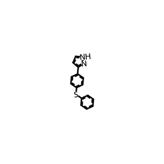 c1ccc(Sc2ccc(-c3cc[nH]n3)cc2)cc1